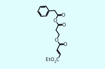 CCOC(=O)C=CC(=O)OCCC(=O)OC(=O)Cc1ccccc1